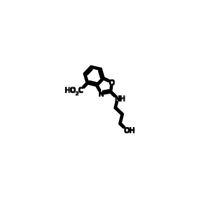 O=C(O)c1cccc2oc(NCCCO)nc12